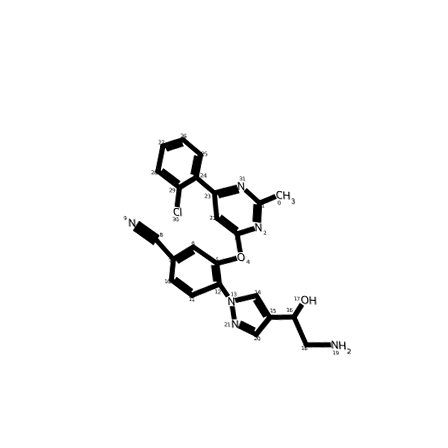 Cc1nc(Oc2cc(C#N)ccc2-n2cc(C(O)CN)cn2)cc(-c2ccccc2Cl)n1